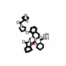 CCCNC(=O)[C@H]1CCCC[C@H]1C(=O)N1CCc2cccc(O[C@H]3CCN(C(=O)c4cncs4)C3)c2[C@H]1CN1C(=O)c2ccccc2C1=O